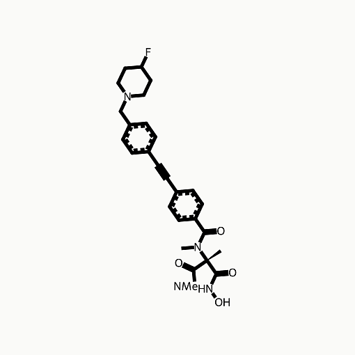 CNC(=O)[C@@](C)(C(=O)NO)N(C)C(=O)c1ccc(C#Cc2ccc(CN3CCC(F)CC3)cc2)cc1